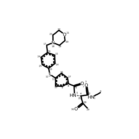 CNC(=O)[C@@H](NC(=O)c1ccc(Sc2ccc(CN3CCOCC3)cc2)cc1)C(C)=O